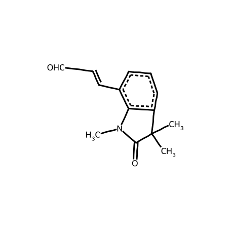 CN1C(=O)C(C)(C)c2cccc(/C=C/C=O)c21